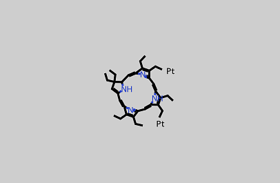 CCC1=C(CC)C2=NC1=CC1=CC(CC)(CC)C(C=C3N=C(C=c4[nH]c(c(CC)c4CC)=C2)C(CC)=C3CC)N1.[Pt].[Pt]